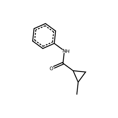 CC1CC1C(=O)Nc1ccccc1